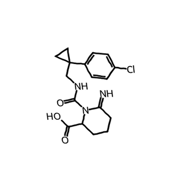 N=C1CCCC(C(=O)O)N1C(=O)NCC1(c2ccc(Cl)cc2)CC1